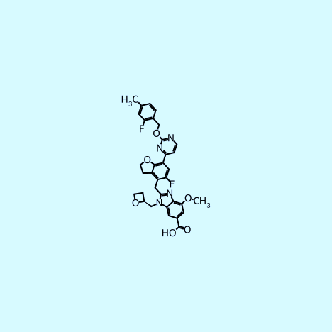 COc1cc(C(=O)O)cc2c1nc(Cc1c(F)cc(-c3ccnc(OCc4ccc(C)cc4F)n3)c3c1CCO3)n2C[C@@H]1CCO1